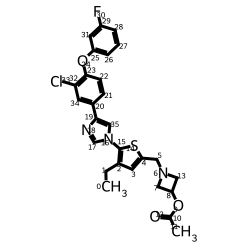 CCc1cc(CN2CC(OC(C)=O)C2)sc1-n1cnc(-c2ccc(Oc3cccc(F)c3)c(Cl)c2)c1